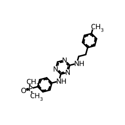 Cc1ccc(CCNc2ncnc(Nc3ccc(P(C)(C)=O)cc3)n2)cc1